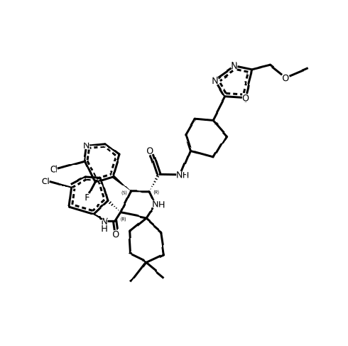 COCc1nnc(C2CCC(NC(=O)[C@@H]3NC4(CCC(C)(C)CC4)[C@@]4(C(=O)Nc5cc(Cl)ccc54)[C@H]3c3ccnc(Cl)c3F)CC2)o1